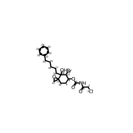 O=C(CCl)NC(=O)OC1CCC2(CO2)C(O)(CCCCCc2ccccc2)C1Br